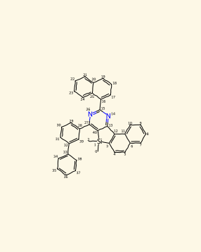 C[Si]1(C)c2ccc3ccccc3c2-c2nc(-c3cccc4ccccc34)nc(-c3cccc(-c4ccccc4)c3)c21